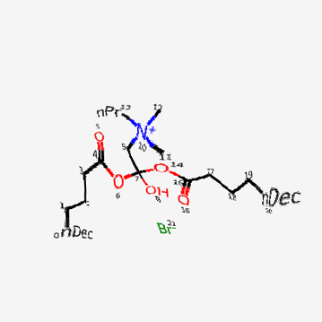 CCCCCCCCCCCCCC(=O)OC(O)(C[N+](C)(C)CCC)OC(=O)CCCCCCCCCCCCC.[Br-]